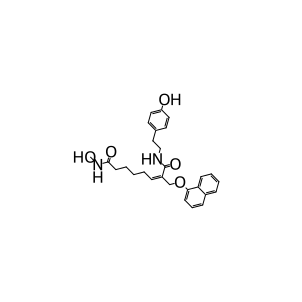 O=C(CCCCC=C(COc1cccc2ccccc12)C(=O)NCCc1ccc(O)cc1)NO